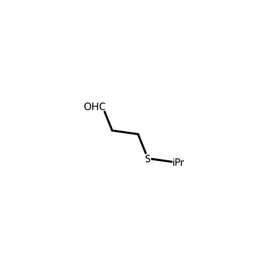 CC(C)SCCC=O